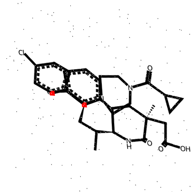 CC(C[C@@H](c1ccc(Cl)cc1)N1CCN(C(=O)C2CC2)CC1)[C@@H]1NC(=O)[C@](C)(CC(=O)O)C[C@@H]1c1cccc(Cl)c1